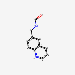 O=[C]NCc1ccc2ncccc2c1